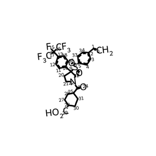 C=Cc1ccc(S(=O)(=O)C2(c3ccc(C(F)(C(F)(F)F)C(F)(F)F)cc3)CCN(C(=O)C3CCC(C(=O)O)CC3)C2)cc1